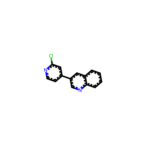 Clc1cc(-c2cnc3ccccc3c2)ccn1